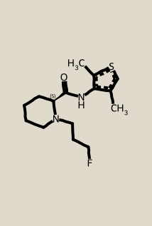 Cc1csc(C)c1NC(=O)[C@@H]1CCCCN1CCCF